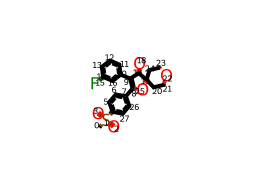 CS(=O)(=O)c1ccc(C2=C(c3cccc(F)c3)C(=O)C3(CCOCC3)O2)cc1